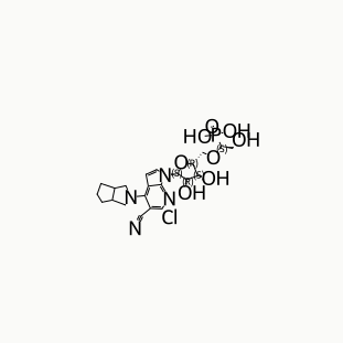 N#Cc1c(Cl)nc2c(ccn2[C@H]2O[C@H](CO[C@H](CO)P(=O)(O)O)[C@@H](O)[C@H]2O)c1N1CC2CCCC2C1